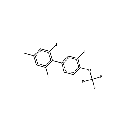 Cc1cc(I)c(-c2ccc(OC(F)(F)F)c(I)c2)c(I)c1